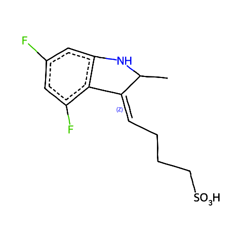 CC1Nc2cc(F)cc(F)c2/C1=C/CCCS(=O)(=O)O